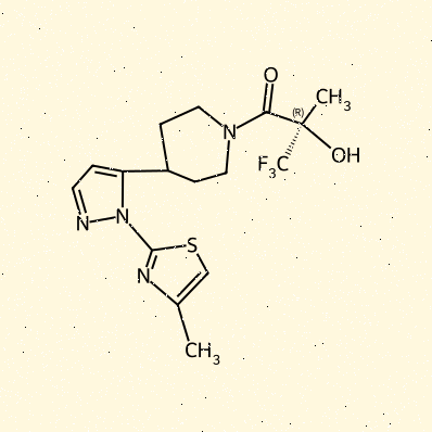 Cc1csc(-n2nccc2C2CCN(C(=O)[C@@](C)(O)C(F)(F)F)CC2)n1